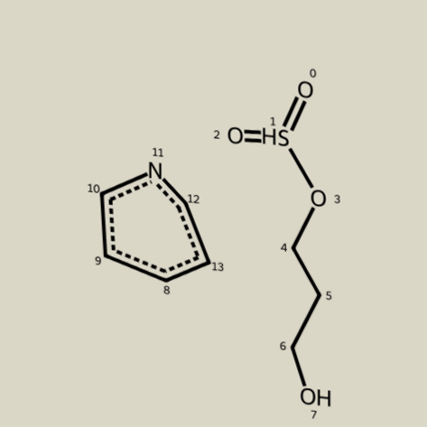 O=[SH](=O)OCCCO.c1ccncc1